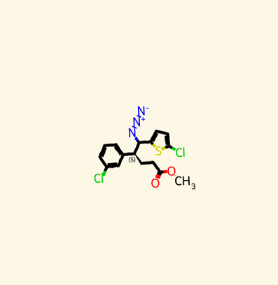 COC(=O)CC[C@@H](c1cccc(Cl)c1)C(N=[N+]=[N-])c1ccc(Cl)s1